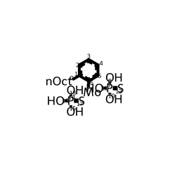 CCCCCCCCc1cccc[c]1[Mo].OP(O)(O)=S.OP(O)(O)=S